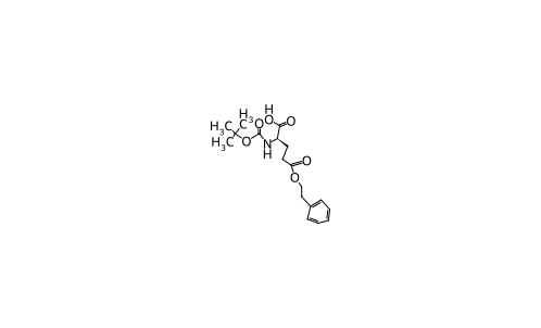 CC(C)(C)OC(=O)N[C@H](CCC(=O)OCCc1ccccc1)C(=O)O